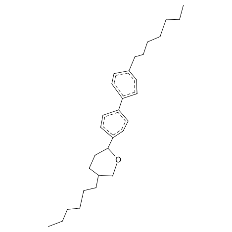 CCCCCCCc1ccc(-c2ccc(C3CCC(CCCCCC)CO3)cc2)cc1